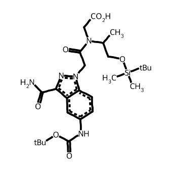 CC(CO[Si](C)(C)C(C)(C)C)N(CC(=O)O)C(=O)Cn1nc(C(N)=O)c2cc(NC(=O)OC(C)(C)C)ccc21